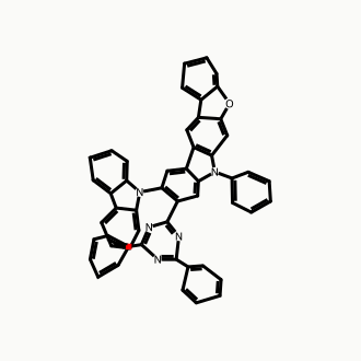 c1ccc(-c2nc(-c3ccccc3)nc(-c3cc4c(cc3-n3c5ccccc5c5ccccc53)c3cc5c(cc3n4-c3ccccc3)oc3ccccc35)n2)cc1